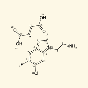 NCCn1ccc2cc(F)c(Cl)cc21.O=C(O)C=CC(=O)O